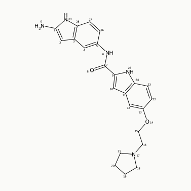 Nc1cc2cc(NC(=O)c3cc4cc(OCCN5CCCC5)ccc4[nH]3)ccc2[nH]1